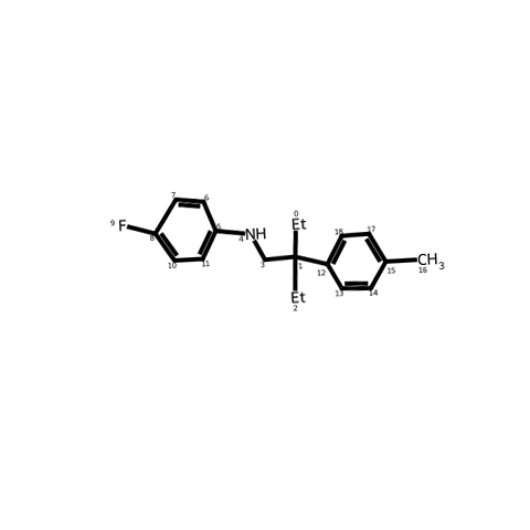 CCC(CC)(CNc1ccc(F)cc1)c1ccc(C)cc1